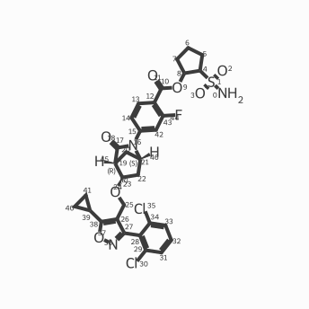 NS(=O)(=O)C1CCCC1OC(=O)c1ccc(N2C(=O)[C@@H]3C[C@H]2C[C@H]3OCc2c(-c3c(Cl)cccc3Cl)noc2C2CC2)cc1F